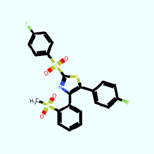 CS(=O)(=O)c1ccccc1-c1nc(S(=O)(=O)c2ccc(F)cc2)sc1-c1ccc(F)cc1